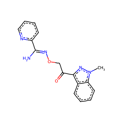 Cn1nc(C(=O)CON=C(N)c2ccccn2)c2ccccc21